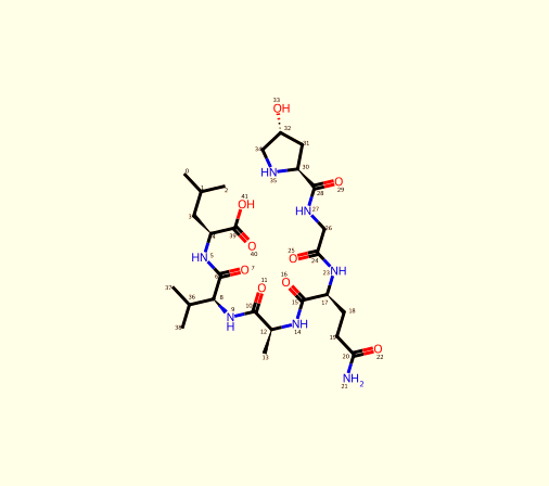 CC(C)C[C@H](NC(=O)[C@@H](NC(=O)[C@H](C)NC(=O)[C@H](CCC(N)=O)NC(=O)CNC(=O)[C@@H]1C[C@@H](O)CN1)C(C)C)C(=O)O